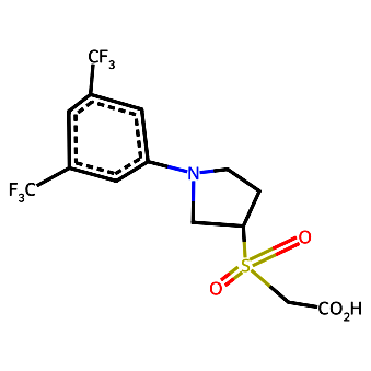 O=C(O)CS(=O)(=O)C1CCN(c2cc(C(F)(F)F)cc(C(F)(F)F)c2)C1